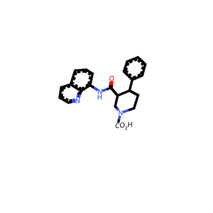 O=C(Nc1cccc2cccnc12)C1CN(C(=O)O)CCC1c1ccccc1